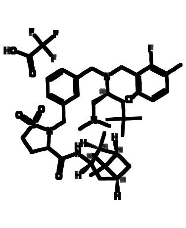 Cc1ccc(Cl)c(CN(Cc2cccc(CN3C(C(=O)N[C@H]4C[C@H]5C[C@@H]([C@@H]4C)C5(C)C)CCS3(=O)=O)c2)[C@H](CN(C)C)CC(C)(C)C)c1F.O=C(O)C(F)(F)F